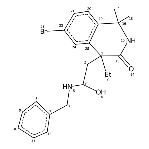 CCC1(CC(O)NCc2ccccc2)C(=O)NC(C)(C)c2ccc(Br)cc21